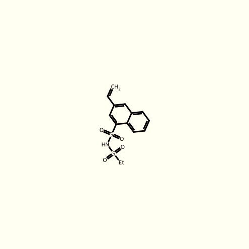 C=Cc1cc(S(=O)(=O)NS(=O)(=O)CC)c2ccccc2c1